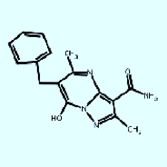 Cc1nc2c(C(N)=O)c(C)nn2c(O)c1Cc1ccccc1